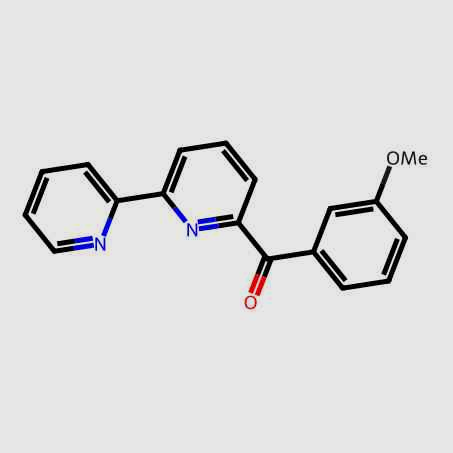 COc1cccc(C(=O)c2cccc(-c3ccccn3)n2)c1